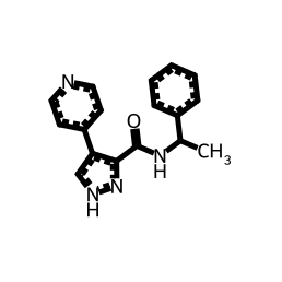 CC(NC(=O)c1n[nH]cc1-c1ccncc1)c1ccccc1